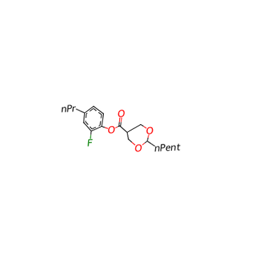 CCCCCC1OCC(C(=O)Oc2ccc(CCC)cc2F)CO1